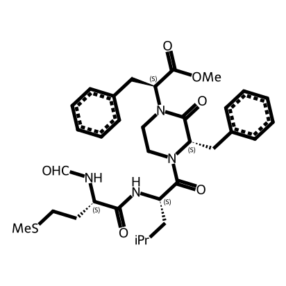 COC(=O)[C@H](Cc1ccccc1)N1CCN(C(=O)[C@H](CC(C)C)NC(=O)[C@H](CCSC)NC=O)[C@@H](Cc2ccccc2)C1=O